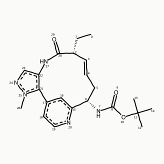 CC[C@@H]1/C=C/C[C@H](NC(=O)OC(C)(C)C)c2cc(ccn2)-c2c(cnn2C)NC1=O